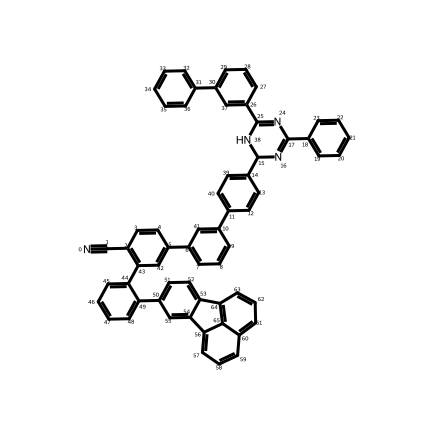 N#Cc1ccc(-c2cccc(-c3ccc(C4N=C(c5ccccc5)N=C(c5cccc(-c6ccccc6)c5)N4)cc3)c2)cc1-c1ccccc1-c1ccc2c(c1)-c1cccc3cccc-2c13